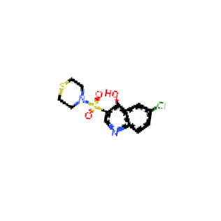 O=S(=O)(c1cnc2ccc(Cl)cc2c1O)N1CCSCC1